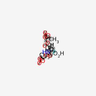 Cc1oc(=O)oc1COC(=O)N[C@]1(C(=O)O)[C@H]2[C@@H](C[C@@H]1F)[C@@H]2C(=O)OCc1oc(=O)oc1C